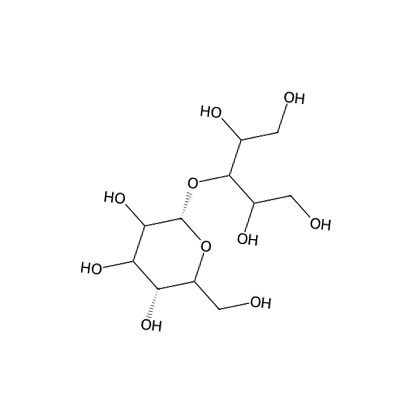 OCC(O)C(O[C@@H]1OC(CO)[C@H](O)C(O)C1O)C(O)CO